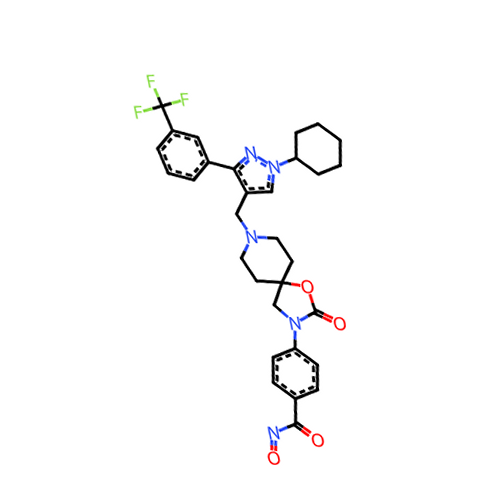 O=NC(=O)c1ccc(N2CC3(CCN(Cc4cn(C5CCCCC5)nc4-c4cccc(C(F)(F)F)c4)CC3)OC2=O)cc1